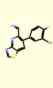 N#Cc1cc(-c2cc3scnc3nc2C=N)ccc1F